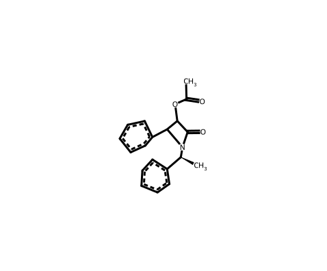 CC(=O)OC1C(=O)N([C@@H](C)c2ccccc2)C1c1ccccc1